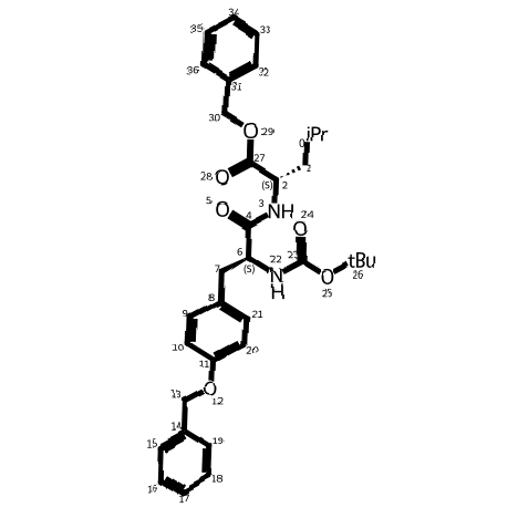 CC(C)C[C@H](NC(=O)[C@H](Cc1ccc(OCc2ccccc2)cc1)NC(=O)OC(C)(C)C)C(=O)OCc1ccccc1